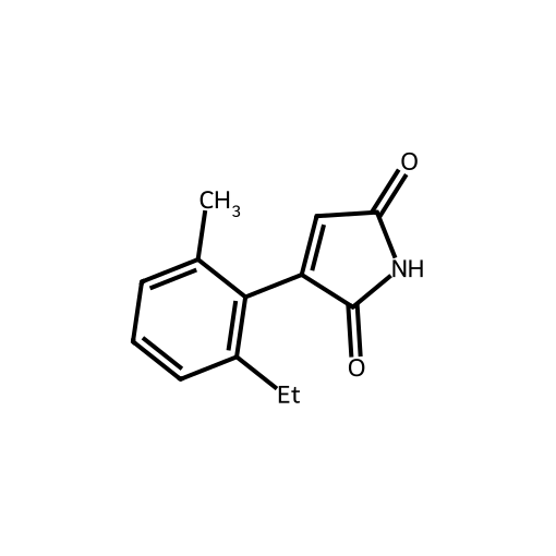 CCc1cccc(C)c1C1=CC(=O)NC1=O